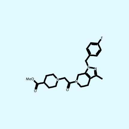 COC(=O)C1CCN(CC(=O)N2CCc3c(C)nn(Cc4ccc(F)cc4)c3C2)CC1